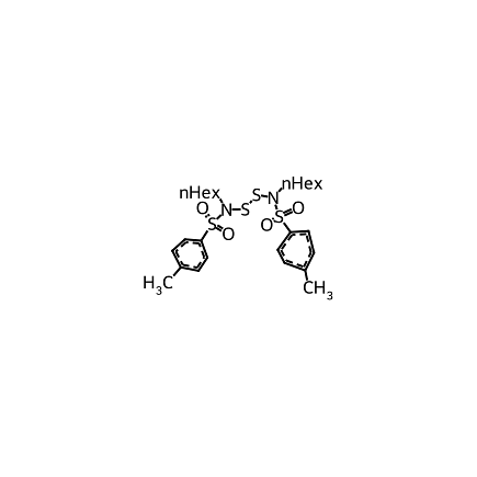 CCCCCCN(SSN(CCCCCC)S(=O)(=O)c1ccc(C)cc1)S(=O)(=O)c1ccc(C)cc1